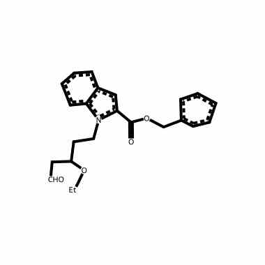 CCOC(CC=O)CCn1c(C(=O)OCc2ccccc2)cc2ccccc21